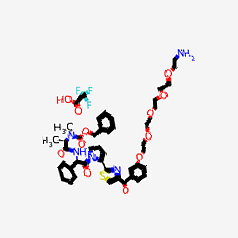 C[C@@H](C(=O)N[C@H](C(=O)N1CCC[C@H]1c1nc(C(=O)c2cccc(OCCOCCOCCOCCOCCN)c2)cs1)C1CCCCC1)N(C)C(=O)OCc1ccccc1.O=C(O)C(F)(F)F